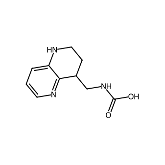 O=C(O)NCC1CCNc2cccnc21